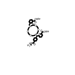 CCc1c(CN2CCOCCOCCN(C(c3ccc(C(=O)NN)cc3)c3cccc(C(=O)OC)n3)CCOCCOCC2)cccc1C(=O)OC